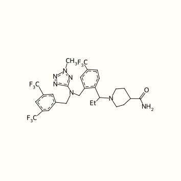 CCC(c1ccc(C(F)(F)F)cc1CN(Cc1cc(C(F)(F)F)cc(C(F)(F)F)c1)c1nnn(C)n1)N1CCC(C(N)=O)CC1